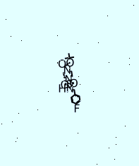 CC(C)(C)OC(=O)N1CCN(S(=O)(=O)NCc2ccc(F)cc2)CC1